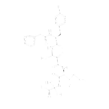 CC[C@H](C)[C@H](NC(=O)C(=O)C(C)NC(=O)[C@H](Cc1ccc(F)cc1)NC(=O)Cc1ccccc1)C(=O)NC(C)(C)C(=O)O